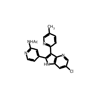 CC(=O)Nc1cc(-c2[nH]c3cc(Cl)cnc3c2-c2ccc(C)cn2)ccn1